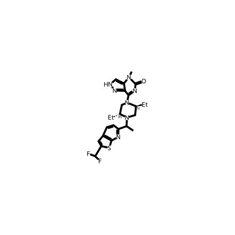 CC[C@H]1CN(C(C)c2ccc3cc(C(F)F)sc3n2)[C@H](CC)CN1c1nc(=O)n(C)c2c[nH]nc12